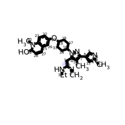 C=N/C(=C\c1c(C)c(-c2cnn(C)c2)nn1C1CCC(Oc2ccc3c(c2)C=CC(O)N3C)CC1)NCC